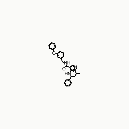 CC1CC(c2ccccc2)Nc2c(C(=O)NCc3cccc(Oc4ccccc4)c3)cnn21